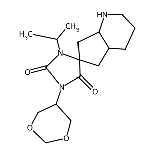 CC(C)N1C(=O)N(C2COCOC2)C(=O)C12CC1CCCNC1C2